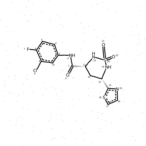 O=C(Nc1ccc(F)c(Cl)c1)[C@H]1C[C@@H](c2nccs2)NS(=O)(=O)N1